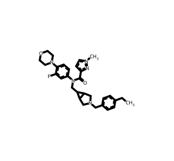 CCc1ccc(CN2CC3C(C2)C3CN(C(=O)c2ccn(C)n2)c2ccc(N3CCOCC3)c(F)c2)cc1